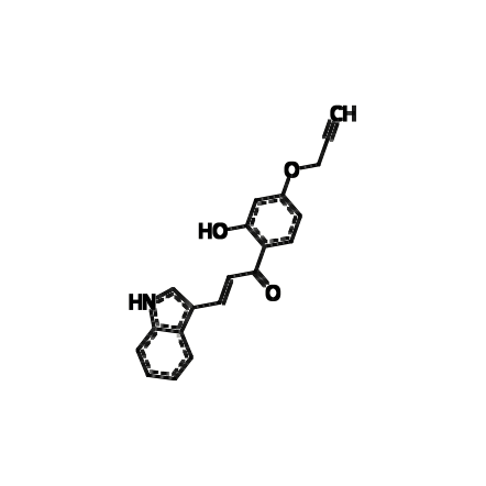 C#CCOc1ccc(C(=O)C=Cc2c[nH]c3ccccc23)c(O)c1